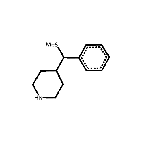 CSC(c1ccccc1)C1CCNCC1